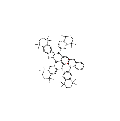 Cc1cc2c3c(c1)N(c1ccc4c(c1)C(C)(C)CCC4(C)C)c1c(sc4cc5c(cc14)C(C)(C)CCC5(C)C)B3c1cc3c(cc1N2c1cc2c(cc1-c1cccc4ccccc14)C(C)(C)CCC2(C)C)C(C)(C)CCC3(C)C